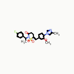 COc1cc(/C=C2\CCC(=O)N(C(C)c3ccc(F)cc3)S2(=O)=O)ccc1-n1cnc(C)c1